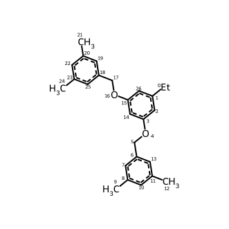 CCc1cc(OCc2cc(C)cc(C)c2)cc(OCc2cc(C)cc(C)c2)c1